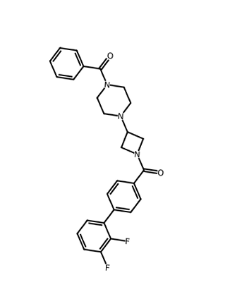 O=C(c1ccccc1)N1CCN(C2CN(C(=O)c3ccc(-c4cccc(F)c4F)cc3)C2)CC1